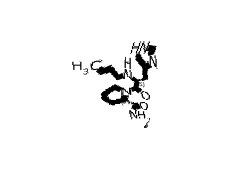 CC=CCN[C@@H](Cc1c[nH]cn1)C(=O)N1CCC[C@H]1C(N)=O